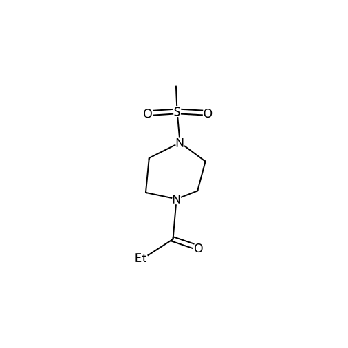 CCC(=O)N1CCN(S(C)(=O)=O)CC1